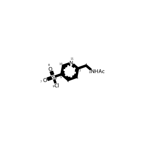 CC(=O)NCc1ccc(S(=O)(=O)Cl)cn1